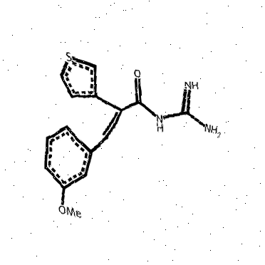 COc1cccc(/C=C(/C(=O)NC(=N)N)c2ccsc2)c1